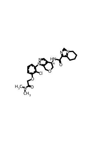 CN(C)C(=O)COc1cccc(-n2ncc3c2COC[C@@H]3NC(=O)c2ncn3c2CCCC3)c1Cl